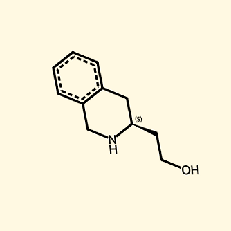 OCC[C@@H]1Cc2ccccc2CN1